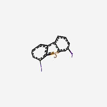 Ic1cccc2c1sc1c(I)cccc12